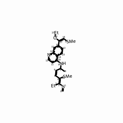 C=N/C(CC)=C(/C=C\C(C)Nc1ccnc2cc(/C(=C\SC)OCC)ccc12)SC